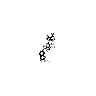 Cc1cn([C@@H]2O[C@@H]3[C@H](Cc4ccc5cc(Br)c(N)nc5c4)OC[C@]3(O)[C@H]2O)c2ncnc(N)c12